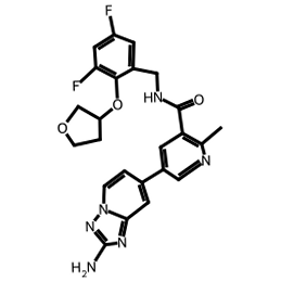 Cc1ncc(-c2ccn3nc(N)nc3c2)cc1C(=O)NCc1cc(F)cc(F)c1OC1CCOC1